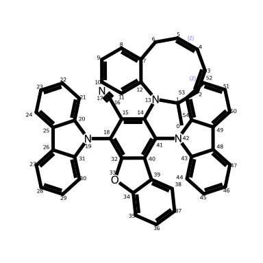 CC1/C=C\C=C/Cc2ccccc2N1c1c(C#N)c(-n2c3ccccc3c3ccccc32)c2oc3ccccc3c2c1-n1c2ccccc2c2ccccc21